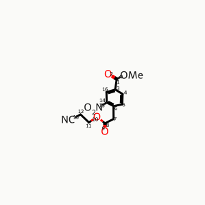 COC(=O)c1ccc(CC(=O)OCCC#N)c([N+](=O)[O-])c1